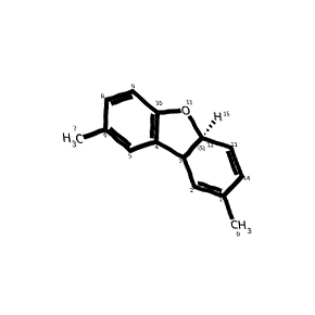 CC1=CC2c3cc(C)ccc3O[C@H]2C=C1